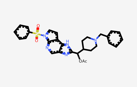 CC(=O)OC(c1nc2cnc3c(ccn3S(=O)(=O)c3ccccc3)c2[nH]1)C1CCN(Cc2ccccc2)CC1